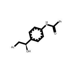 CC(=O)C[C@H](O)c1ccc(NC(=O)C(C)C)cc1